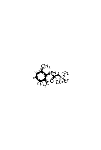 CC[N+](CC)(CC)CC(=O)Nc1c(C)cccc1C